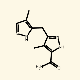 Cc1cn[nH]c1Cc1n[nH]c(C(N)=O)c1C